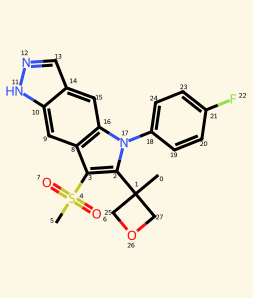 CC1(c2c(S(C)(=O)=O)c3cc4[nH]ncc4cc3n2-c2ccc(F)cc2)COC1